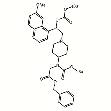 COc1ccc2nccc(C(CN3CCC(N(CC(=O)OCc4ccccc4)C(=O)OC(C)(C)C)CC3)OC(=O)OC(C)(C)C)c2c1